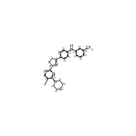 Fc1cnc(N2CCC(c3ccc(Nc4cccc(C(F)(F)F)c4)cn3)=N2)nc1N1CCOCC1